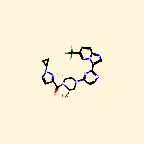 C[C@@H]1CN(c2ccnc(-c3cnc4ccc(C(F)(F)F)cn34)n2)C[C@H](C)N1C(=O)c1ccn(C2CC2)n1